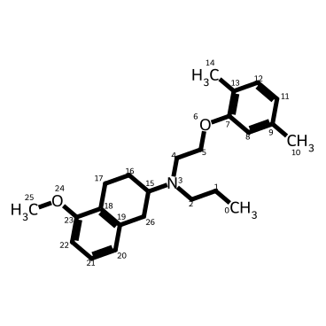 CCCN(CCOc1cc(C)ccc1C)C1CCc2c(cccc2OC)C1